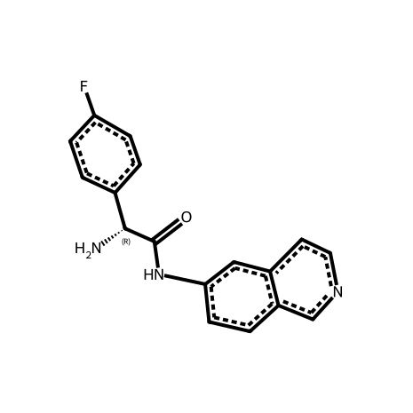 N[C@@H](C(=O)Nc1ccc2cnccc2c1)c1ccc(F)cc1